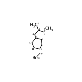 CCC(C)C[C@H]1CC[C@H](CBr)CC1